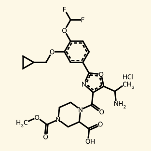 COC(=O)N1CCN(C(=O)c2nc(-c3ccc(OC(F)F)c(OCC4CC4)c3)oc2C(C)N)C(C(=O)O)C1.Cl